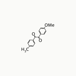 COc1ccc(C(=O)C(=O)c2ccc(C)cc2)cc1